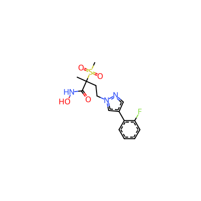 CC(CCn1cc(-c2ccccc2F)cn1)(C(=O)NO)S(C)(=O)=O